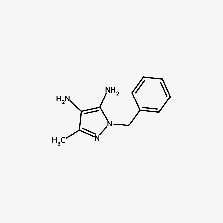 Cc1nn(Cc2ccccc2)c(N)c1N